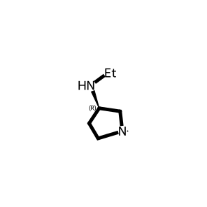 CCN[C@@H]1CC[N]C1